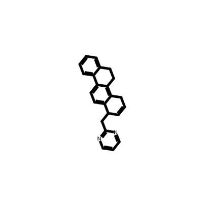 [CH](c1ncccn1)C1C=CCc2c1ccc1c2CCc2ccccc2-1